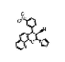 N#CC1=C(n2cccc2)Oc2c(ccc3cccnc23)C1c1cccc([N+](=O)[O-])c1